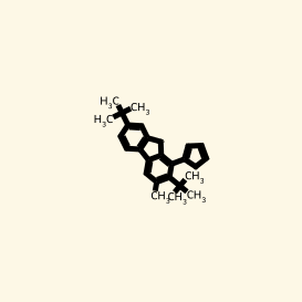 Cc1cc2c(c(C3=CC=CC3)c1C(C)(C)C)[CH]c1cc(C(C)(C)C)ccc1-2